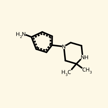 CC1(C)CN(c2ccc(N)cc2)CCN1